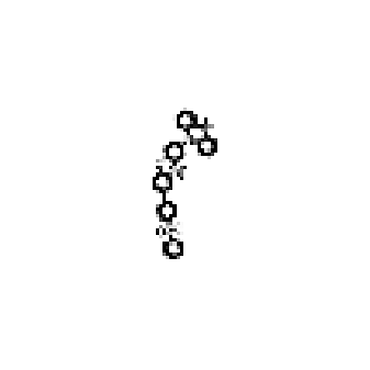 CC1(C)c2ccccc2N(c2ccc3c(c2)[Si](C)(C)c2cc(-c4ccc(S(=O)(=O)c5ccccc5)cc4)ccc2O3)c2ccccc21